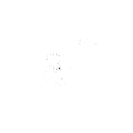 C=C1/C(=C\C(=C/N=O)c2cc(Cl)ccc2-n2cc(C#N)nn2)CCC1(O)c1nc(-c2ccc(NC(=O)OC)cc2Cl)c[nH]1